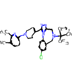 Cc1nc(N2CCC(c3nnc4n3-c3ccc(Cl)cc3CN(C(C)(C)C(F)(F)F)C4)CC2)ccc1C#N